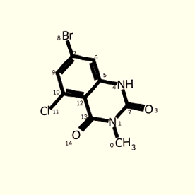 Cn1c(=O)[nH]c2cc(Br)cc(Cl)c2c1=O